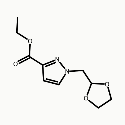 CCOC(=O)c1ccn(CC2OCCO2)n1